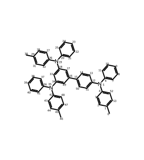 Cc1ccc(N(c2ccccc2)c2ccc(-c3cc(N(c4ccccc4)c4ccc(C)cc4)cc(N(c4ccccc4)c4ccc(C)cc4)c3)cc2)cc1